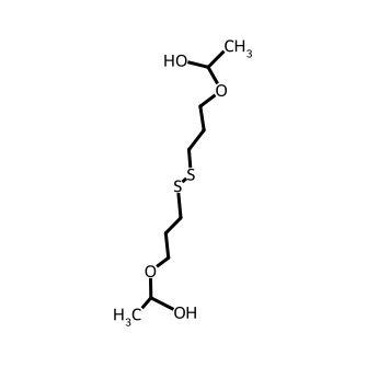 CC(O)OCCCSSCCCOC(C)O